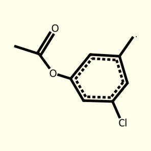 [CH2]c1cc(Cl)cc(OC(C)=O)c1